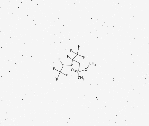 COP(C)(=O)CC(F)(CC(F)C(F)(F)F)C(F)(F)F